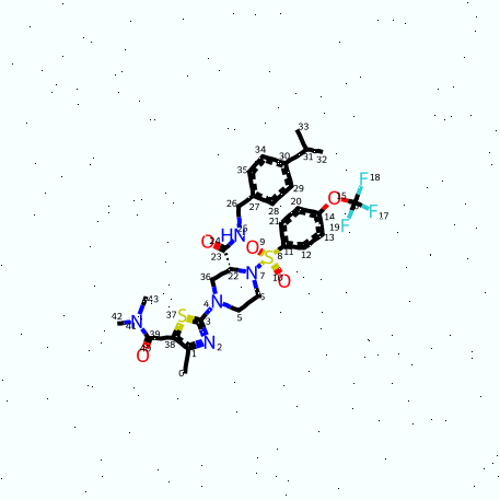 Cc1nc(N2CCN(S(=O)(=O)c3ccc(OC(F)(F)F)cc3)[C@@H](C(=O)NCc3ccc(C(C)C)cc3)C2)sc1C(=O)N(C)C